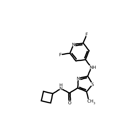 Cc1sc(Nc2cc(F)nc(F)c2)nc1C(=O)NC1CCC1